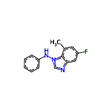 Cc1cc(F)cc2ncn(Nc3ccccc3)c12